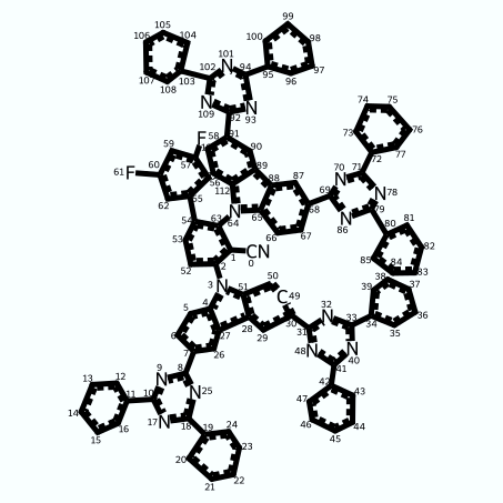 N#Cc1c(-n2c3ccc(-c4nc(-c5ccccc5)nc(-c5ccccc5)n4)cc3c3cc(-c4nc(-c5ccccc5)nc(-c5ccccc5)n4)ccc32)ccc(-c2cc(F)cc(F)c2)c1-n1c2ccc(-c3nc(-c4ccccc4)nc(-c4ccccc4)n3)cc2c2cc(-c3nc(-c4ccccc4)nc(-c4ccccc4)n3)ccc21